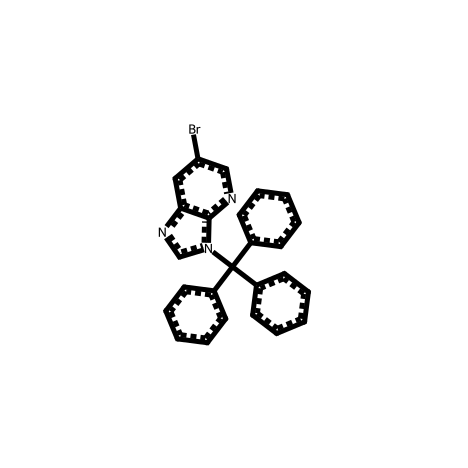 Brc1cnc2c(c1)ncn2C(c1ccccc1)(c1ccccc1)c1ccccc1